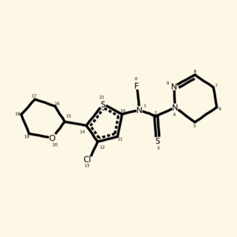 FN(C(=S)N1CCCC=N1)c1cc(Cl)c(C2CCCCO2)s1